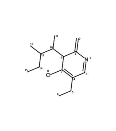 C=C1N=CC(CC)=C(Cl)C1C(C)C(C)CC